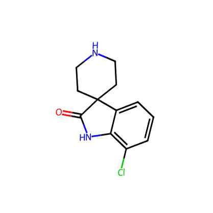 O=C1Nc2c(Cl)cccc2C12CCNCC2